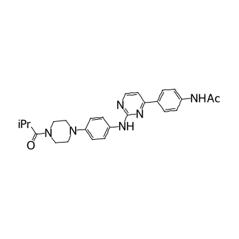 CC(=O)Nc1ccc(-c2ccnc(Nc3ccc(N4CCN(C(=O)C(C)C)CC4)cc3)n2)cc1